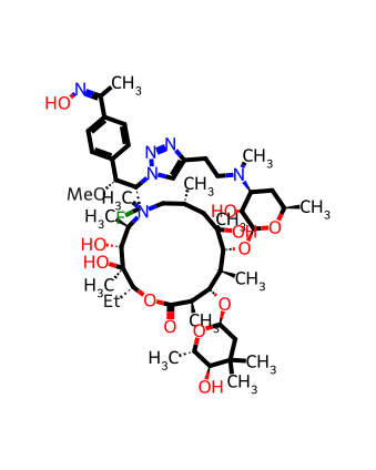 CC[C@H]1OC(=O)[C@H](C)[C@@H](O[C@H]2CC(C)(C)[C@@H](O)[C@H](C)O2)[C@H](C)[C@@H](O[C@@H]2O[C@H](C)C[C@H](N(C)CCc3cn([C@H](CF)[C@H](OC)c4ccc(/C(C)=N\O)cc4)nn3)[C@H]2O)[C@](C)(O)C[C@@H](C)CN(C)[C@H](C)[C@@H](O)[C@]1(C)O